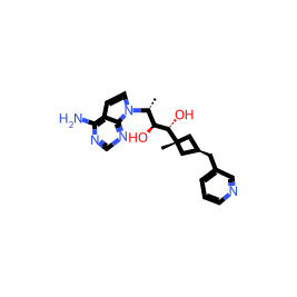 C[C@H]([C@H](O)[C@H](O)[C@]1(C)C[C@@H](Cc2cccnc2)C1)n1ccc2c(N)ncnc21